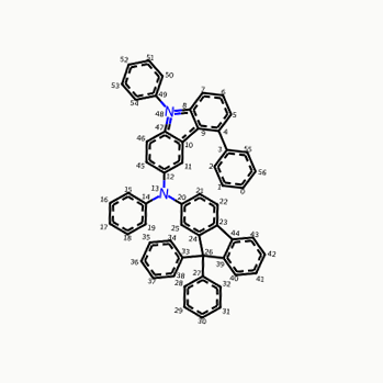 c1ccc(-c2cccc3c2c2cc(N(c4ccccc4)c4ccc5c(c4)C(c4ccccc4)(c4ccccc4)c4ccccc4-5)ccc2n3-c2ccccc2)cc1